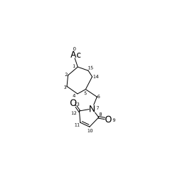 CC(=O)C1CCCC(CN2C(=O)C=CC2=O)CC1